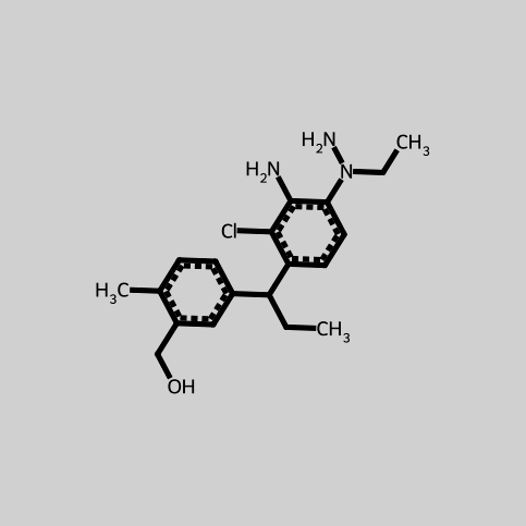 CCC(c1ccc(C)c(CO)c1)c1ccc(N(N)CC)c(N)c1Cl